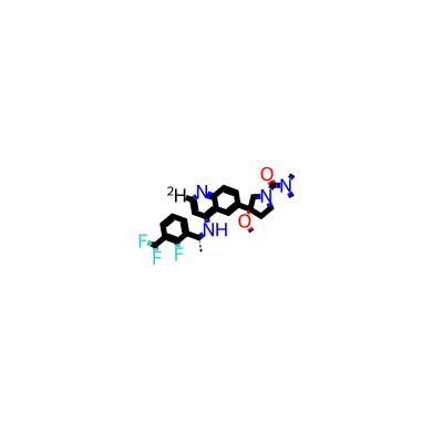 [2H]c1cc(N[C@H](C)c2cccc(C(F)F)c2F)c2cc([C@@]3(OC)CCN(C(=O)N(C)C)C3)ccc2n1